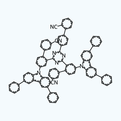 N#Cc1cccc(-c2ccc(-n3c4ccc(-c5ccccc5)cc4c4cc(-c5ccccc5)ccc43)cc2-c2nc(-c3ccc(-c4ccccc4C#N)cc3)nc(-c3cc(-n4c5ccc(-c6ccccc6)cc5c5cc(-c6ccccc6)ccc54)ccc3-c3cccc(C#N)c3)n2)c1